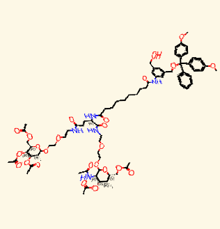 COc1ccc(C(OCc2cc(CO)cc(NC(=O)CCCCCCCCC(=O)N[C@H](CCC(=O)NCCOCCOC3O[C@H](COC(C)=O)[C@H](OC(C)=O)[C@H](OC(C)=O)[C@H]3C)C(=O)NCCOCCOC3O[C@H](COC(C)=O)[C@H](C)[C@H](OC(C)=O)[C@H]3NC(C)=O)c2)(c2ccccc2)c2ccc(OC)cc2)cc1